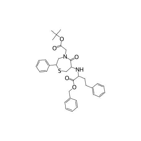 CC(C)(C)OC(=O)CN1CC(c2ccccc2)SCC(NC(CCc2ccccc2)C(=O)OCc2ccccc2)C1=O